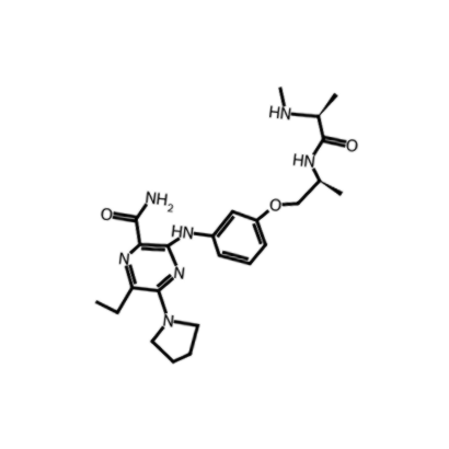 CCc1nc(C(N)=O)c(Nc2cccc(OC[C@H](C)NC(=O)[C@H](C)NC)c2)nc1N1CCCC1